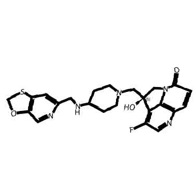 O=c1ccc2ncc(F)c3c2n1C[C@@]3(O)CN1CCC(NCc2cc3c(cn2)OCS3)CC1